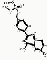 CCOP(=O)(OCC)SCc1ccc(-c2nc(SC)c3cc(Br)ccc3n2)cc1